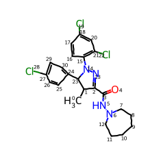 CC1C(C(=O)NN2CCCCCC2)=NN(c2ccc(Cl)cc2Cl)C1c1ccc(Cl)cc1